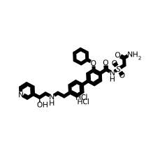 Cl.Cl.NC(=O)CS(=O)(=O)NC(=O)c1ccc(-c2ccc(CCNC[C@H](O)c3cccnc3)cc2)cc1OC1CCCCC1